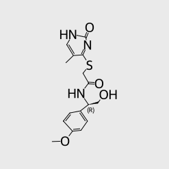 COc1ccc([C@H](CO)NC(=O)CSc2nc(=O)[nH]cc2C)cc1